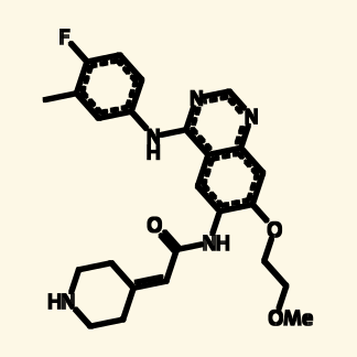 COCCOc1cc2ncnc(Nc3ccc(F)c(C)c3)c2cc1NC(=O)C=C1CCNCC1